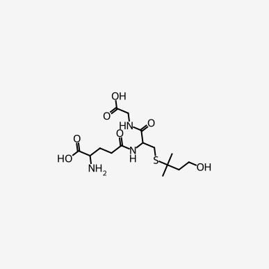 CC(C)(CCO)SCC(NC(=O)CCC(N)C(=O)O)C(=O)NCC(=O)O